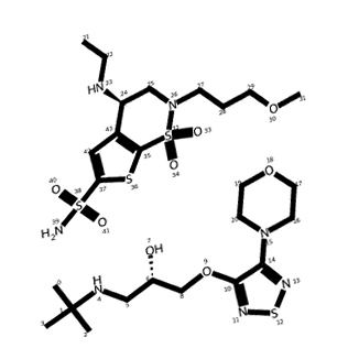 CC(C)(C)NC[C@H](O)COc1nsnc1N1CCOCC1.CCN[C@H]1CN(CCCOC)S(=O)(=O)c2sc(S(N)(=O)=O)cc21